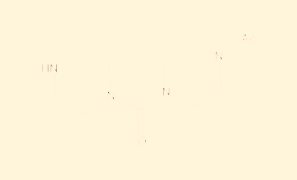 CC(=O)N1CCN(C(=O)N2CCNCC2)CC1